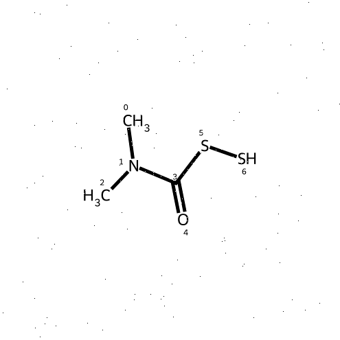 CN(C)C(=O)SS